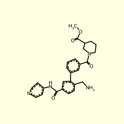 COC(=O)C1CCCN(C(=O)c2cccc(-c3cc(C(=O)Nc4ccncc4)ccc3CN)c2)C1